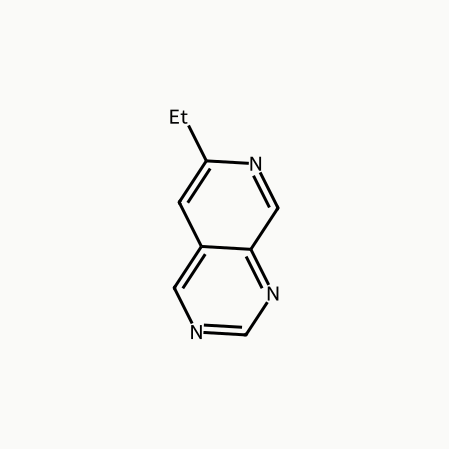 CCc1cc2cncnc2cn1